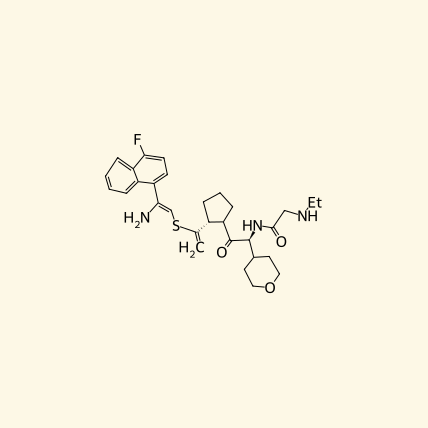 C=C(S/C=C(\N)c1ccc(F)c2ccccc12)[C@@H]1CCCC1C(=O)[C@@H](NC(=O)CNCC)C1CCOCC1